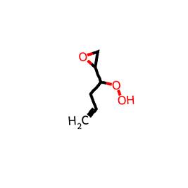 C=CCC(OO)C1CO1